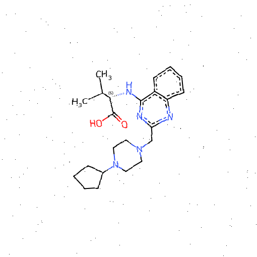 CC(C)[C@H](Nc1nc(CN2CCN(C3CCCC3)CC2)nc2ccccc12)C(=O)O